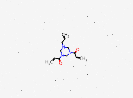 C=CCN1CN(C(=O)C=C)CN(C(=O)C=C)C1